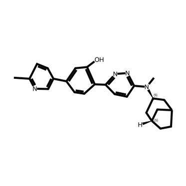 Cc1ccc(-c2ccc(-c3ccc(N(C)[C@H]4CC5CC[C@@H](C5)C4)nn3)c(O)c2)cn1